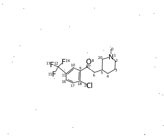 CN1CCCC(CC(=O)c2cc(C(F)(F)F)ccc2Cl)C1